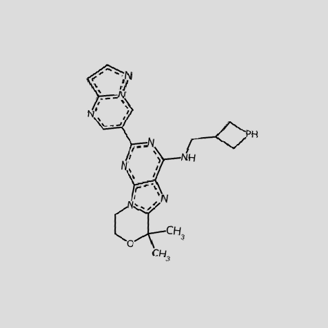 CC1(C)OCCn2c1nc1c(NCC3CPC3)nc(-c3cnc4ccnn4c3)nc12